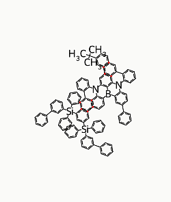 CC(C)(C)c1cccc(-c2cc3c4c(c2)N(c2ccccc2-c2ccccc2)c2cc(-c5cc([Si](c6ccccc6)(c6ccccc6)c6cccc(-c7ccccc7)c6)cc([Si](c6ccccc6)(c6ccccc6)c6cccc(-c7ccccc7)c6)c5)ccc2B4c2cc(-c4ccccc4)ccc2N3c2ccccc2-c2ccccc2)c1